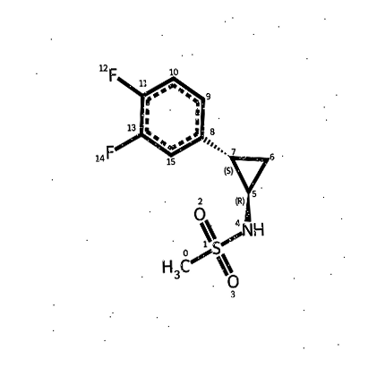 CS(=O)(=O)N[C@@H]1C[C@H]1c1ccc(F)c(F)c1